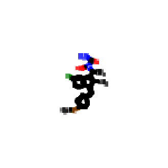 CSc1ccc(/C=C2/C(C)=C(C(C)N(O)C(N)=O)c3cc(F)ccc32)cc1